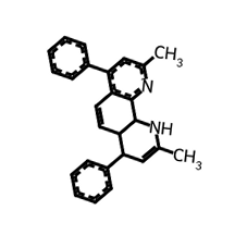 CC1=CC(c2ccccc2)C2C=Cc3c(-c4ccccc4)cc(C)nc3C2N1